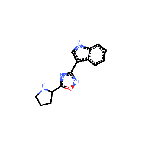 c1ccc2c(-c3noc(C4CCCN4)n3)c[nH]c2c1